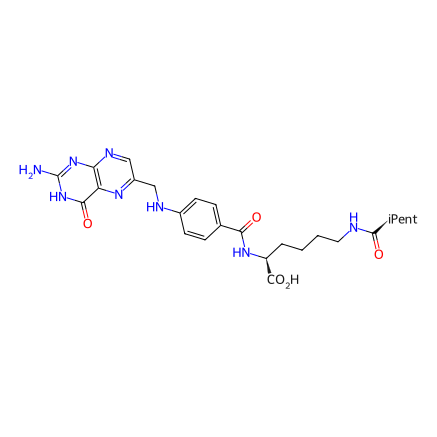 CCC[C@H](C)C(=O)NCCCC[C@H](NC(=O)c1ccc(NCc2cnc3nc(N)[nH]c(=O)c3n2)cc1)C(=O)O